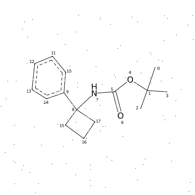 CC(C)(C)OC(=O)NC1(c2ccccc2)C[CH]C1